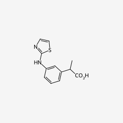 CC(C(=O)O)c1cccc(Nc2nccs2)c1